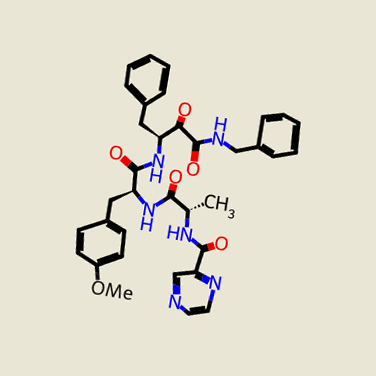 COc1ccc(C[C@H](NC(=O)[C@H](C)NC(=O)c2cnccn2)C(=O)N[C@@H](Cc2ccccc2)C(=O)C(=O)NCc2ccccc2)cc1